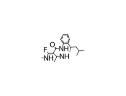 CN/C(F)=C(\C(C)=N)C(=O)Nc1ccccc1C(C)CC(C)C